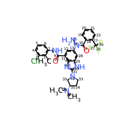 Cc1c(Cl)cccc1NC(=O)c1cc(N(N)C(=O)c2ccccc2C(F)(F)F)cc2[nH]c(N3CC[C@H](N(C)C)C3)nc12